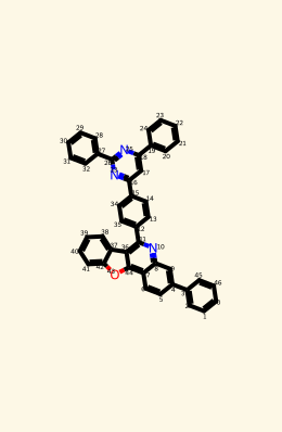 c1ccc(-c2ccc3c(c2)nc(-c2ccc(-c4cc(-c5ccccc5)nc(-c5ccccc5)n4)cc2)c2c4ccccc4oc32)cc1